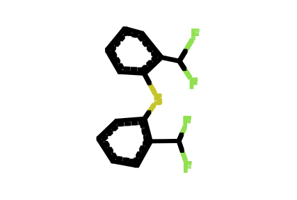 FC(F)c1ccccc1Sc1ccccc1C(F)F